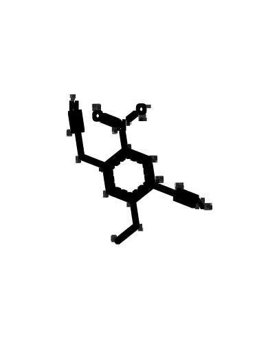 CCc1cc(CC#N)c([N+](=O)[O-])cc1C#N